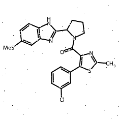 CSc1ccc2[nH]c(C3CCCN3C(=O)c3nc(C)sc3-c3cccc(Cl)c3)nc2c1